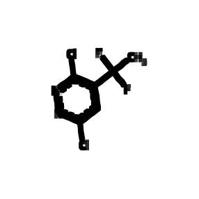 CC(F)(F)c1cc(Cl)nnc1Cl